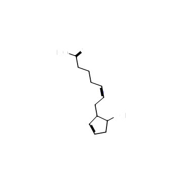 O=C(O)CCC/C=C\CC1C=CCC1O